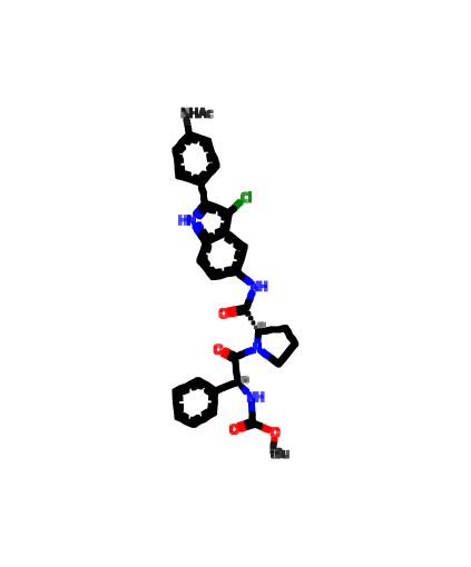 CC(=O)Nc1ccc(-c2[nH]c3ccc(NC(=O)[C@@H]4CCCN4C(=O)[C@@H](NC(=O)OC(C)(C)C)c4ccccc4)cc3c2Cl)cc1